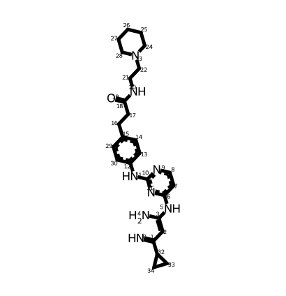 N=C(/C=C(\N)Nc1ccnc(Nc2ccc(CCC(=O)NCCN3CCCCC3)cc2)n1)C1CC1